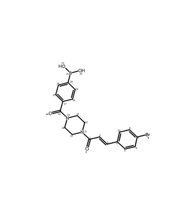 O=C(/C=C/c1ccc(Br)cc1)N1CCN(C(=O)c2ccc(B(O)O)cc2)CC1